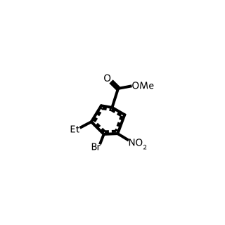 CCc1cc(C(=O)OC)cc([N+](=O)[O-])c1Br